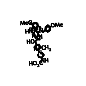 CCCCNc1nc(N(Cc2ccc(OC)cc2)Cc2ccc(OC)cc2)c2ncc(C(O)c3cnc(N4CCC(NC(=O)O)CC4)c(C)c3)n2n1